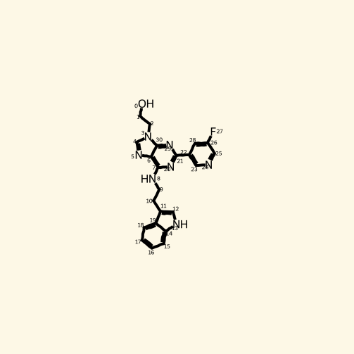 OCCn1cnc2c(NCCc3c[nH]c4ccccc34)nc(-c3cncc(F)c3)nc21